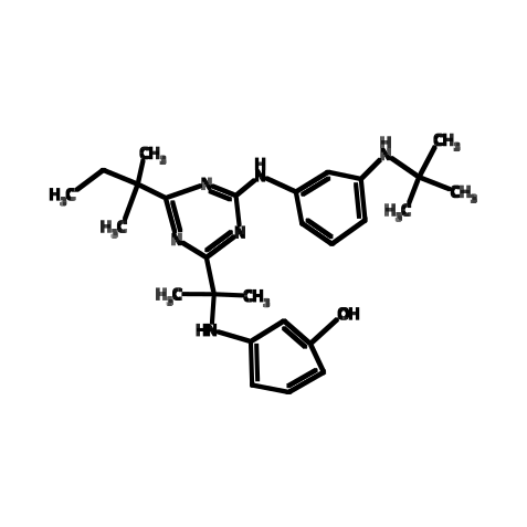 CCC(C)(C)c1nc(Nc2cccc(NC(C)(C)C)c2)nc(C(C)(C)Nc2cccc(O)c2)n1